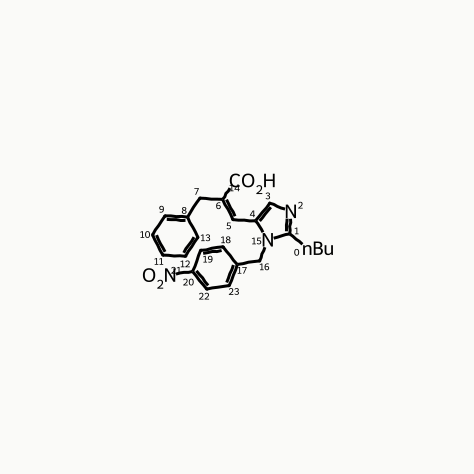 CCCCc1ncc(C=C(Cc2ccccc2)C(=O)O)n1Cc1ccc([N+](=O)[O-])cc1